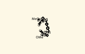 COC(=O)N[C@H](C(=O)N1[C@@H](C)CC[C@H]1c1ncc(-c2ccc(-c3ccc(-c4cnc([C@@H]5CC[C@H](C)N5C(=O)[C@@H](NC(=O)OC)C5CC6(COC6)C5)[nH]4)cc3)cc2)[nH]1)C1CC2(COC2)C1